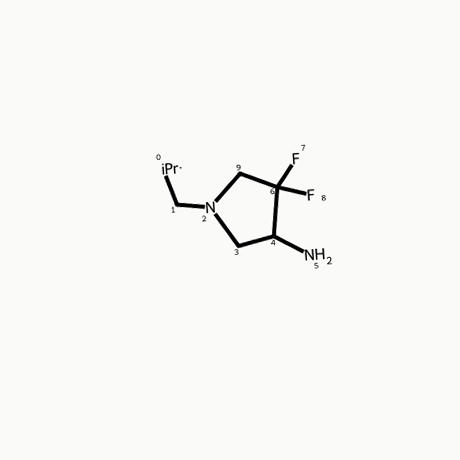 C[C](C)CN1CC(N)C(F)(F)C1